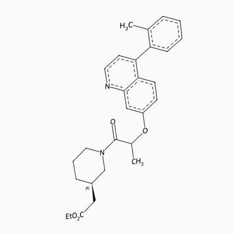 CCOC(=O)C[C@H]1CCCN(C(=O)C(C)Oc2ccc3c(-c4ccccc4C)ccnc3c2)C1